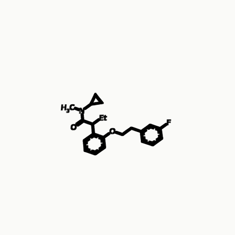 CCC(C(=O)N(C)C1CC1)c1ccccc1OCCc1cccc(F)c1